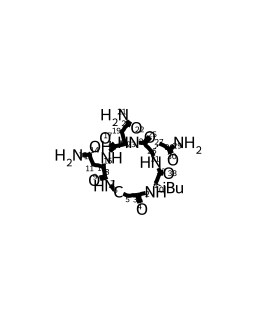 CC[C@@H](C)[C@@H]1NC(=O)CCNC(=O)C(CC(N)O)NC(=O)C(CC(N)=O)NC(=O)[C@H](CC(N)=O)NC1=O